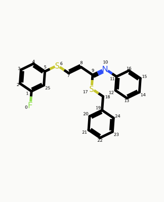 Fc1cccc(SC=CC(=Nc2ccccc2)SCc2ccccc2)c1